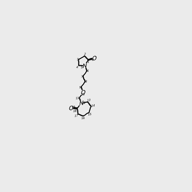 O=C1CCCN1CCCCOCN1CCCCCC1=O